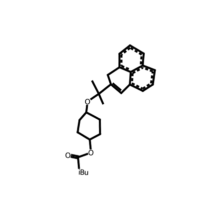 CCC(C)C(=O)OC1CCC(OC(C)(C)C2=Cc3cccc4cccc(c34)C2)CC1